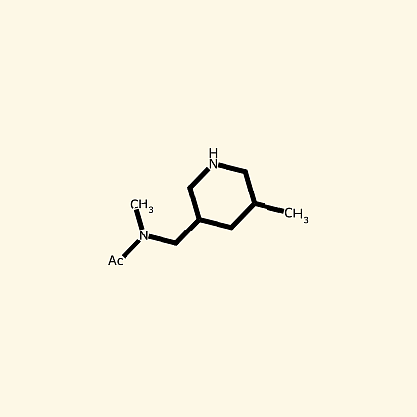 CC(=O)N(C)CC1CNCC(C)C1